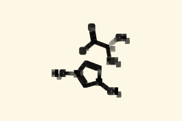 C[C@H](N)C(=O)[O-].Cn1cc[n+](C)c1